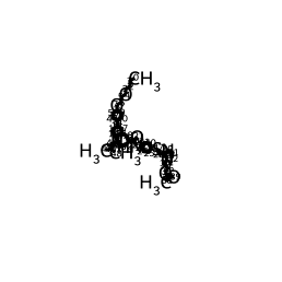 CCCCOCCOc1ccc(-c2ccc3c(c2)C=C(C(=O)Nc2ccc(SCc4nccn4CCOC(C)=O)cc2)CCN3CC(C)C)cc1